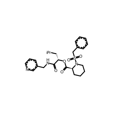 CC(C)C[C@H](OC(=O)[C@@H]1CCCCN1S(=O)(=O)Cc1ccccc1)C(=O)NCc1cccnc1